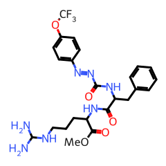 COC(=O)C(CCCNC(N)N)NC(=O)C(Cc1ccccc1)NC(=O)/N=N/c1ccc(OC(F)(F)F)cc1